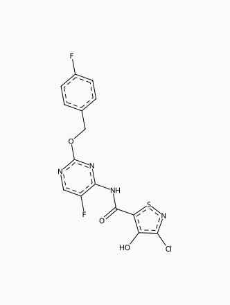 O=C(Nc1nc(OCc2ccc(F)cc2)ncc1F)c1snc(Cl)c1O